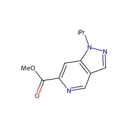 COC(=O)c1cc2c(cn1)cnn2C(C)C